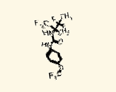 CC(F)(F)C(C)(NC(=O)Nc1ccc(OC(F)(F)F)cc1)C(F)(F)F